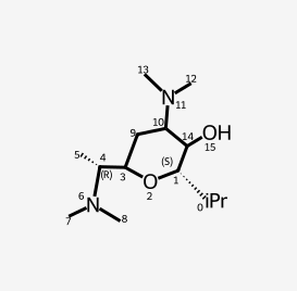 CC(C)[C@@H]1OC([C@@H](C)N(C)C)CC(N(C)C)C1O